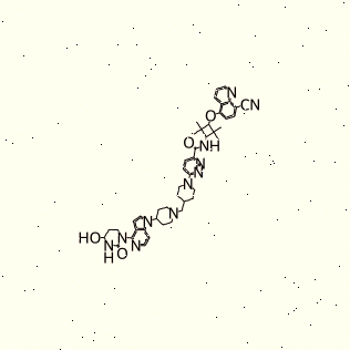 CC1(C)[C@H](NC(=O)c2ccc(N3CCC(CN4CCC(n5ccc6c(N7CCC(O)NC7=O)nccc65)CC4)CC3)nn2)C(C)(C)[C@H]1Oc1ccc(C#N)c2ncccc12